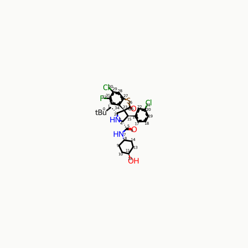 CC(C)(C)C[C@H]1N[C@@H](C(=O)N[C@H]2CC[C@H](O)CC2)[C@H](c2cccc(Cl)c2)[C@@]12C(=O)Sc1cc(Cl)c(F)cc12